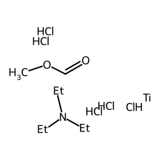 CCN(CC)CC.COC=O.Cl.Cl.Cl.Cl.Cl.[Ti]